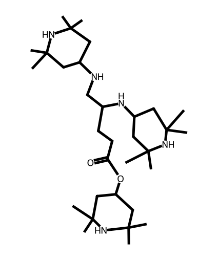 CC1(C)CC(NCC(CCC(=O)OC2CC(C)(C)NC(C)(C)C2)NC2CC(C)(C)NC(C)(C)C2)CC(C)(C)N1